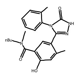 CCCCN(C)C(=O)c1cc(-c2n[nH]c(=O)n2-c2ccccc2C)c(C)cc1O